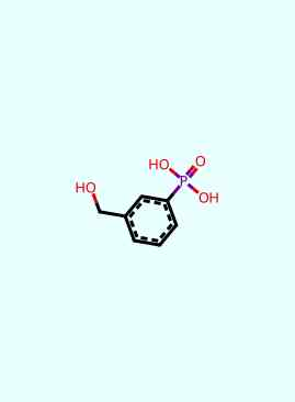 O=P(O)(O)c1cccc(CO)c1